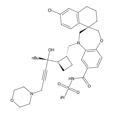 CCCC[C@](O)(C#CCN1CCOCC1)[C@@H]1CC[C@H]1CN1C[C@@]2(CCCc3cc(Cl)ccc32)COc2ccc(C(=O)NS(=O)(=O)C(C)C)cc21